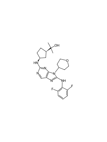 CC(C)(O)[C@@H]1CC[C@H](Nc2ncc3nc(Nc4c(F)cccc4F)n(C4CCOCC4)c3n2)C1